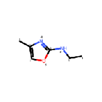 CCNc1nc(C)co1